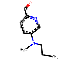 CCCN(C)c1ccc(C=O)nc1